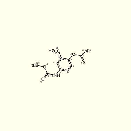 CCCC(=S)Oc1ccc(NC(=O)OC(C)(C)C)cc1C(=O)O